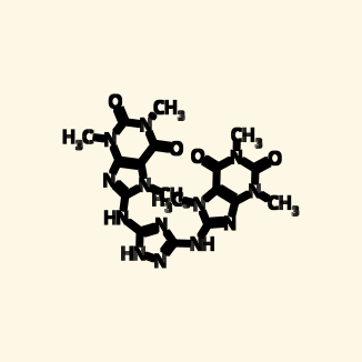 Cn1c(=O)c2c(nc(Nc3n[nH]c(Nc4nc5c(c(=O)n(C)c(=O)n5C)n4C)n3)n2C)n(C)c1=O